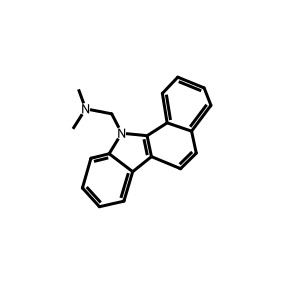 CN(C)Cn1c2ccccc2c2ccc3ccccc3c21